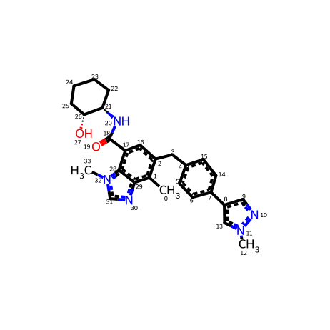 Cc1c(Cc2ccc(-c3cnn(C)c3)cc2)cc(C(=O)N[C@@H]2CCCC[C@H]2O)c2c1ncn2C